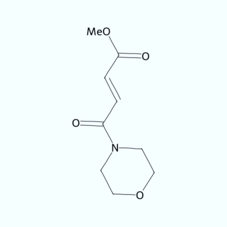 COC(=O)/C=C/C(=O)N1CCOCC1